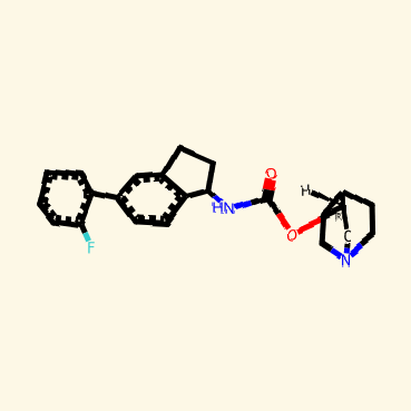 O=C(NC1CCc2cc(-c3ccccc3F)ccc21)O[C@H]1CN2CCC1CC2